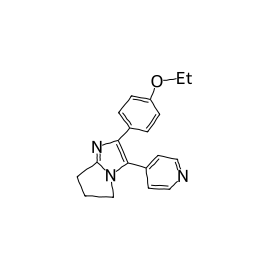 CCOc1ccc(-c2nc3n(c2-c2ccncc2)CCC3)cc1